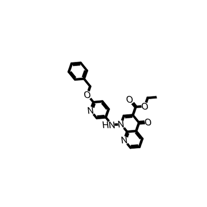 CCOC(=O)c1cn(Nc2ccc(OCc3ccccc3)nc2)c2ncccc2c1=O